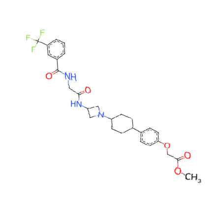 COC(=O)COc1ccc(C2CCC(N3CC(NC(=O)CNC(=O)c4cccc(C(F)(F)F)c4)C3)CC2)cc1